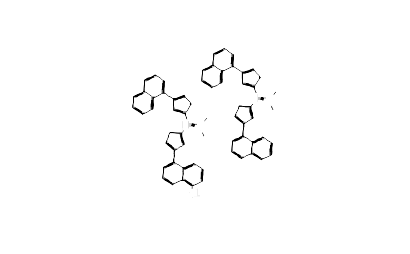 C[Si](C)=[Hf]([C]1=CC(c2cccc3ccccc23)=CC1)[C]1=CC(c2cccc3ccccc23)=CC1.C[Si](C)=[Hf]([C]1=CC(c2cccc3ccccc23)=CC1)[C]1=CC(c2cccc3ccccc23)=CC1.[Cl-].[Cl-]